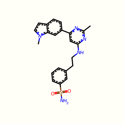 Cc1nc(NCCc2cccc(S(N)(=O)=O)c2)cc(-c2ccc3ccn(C)c3c2)n1